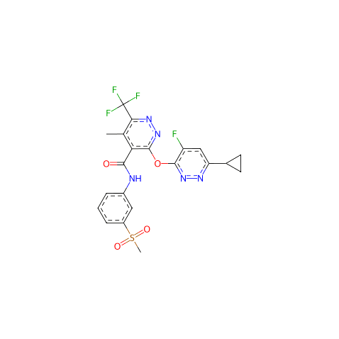 Cc1c(C(F)(F)F)nnc(Oc2nnc(C3CC3)cc2F)c1C(=O)Nc1cccc(S(C)(=O)=O)c1